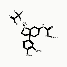 CCCCCNC(=N)NC1CCC2(c3ccc(OC)c(OC)c3)CCN(C)C2C1.O=C(O)C(F)(F)F